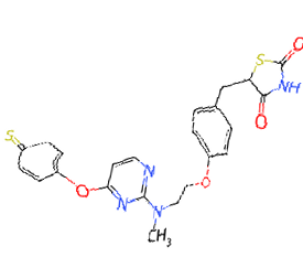 CN(CCOc1ccc(CC2SC(=O)NC2=O)cc1)c1nccc(OC2=CCC(=S)C=C2)n1